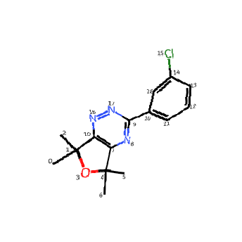 CC1(C)OC(C)(C)c2nc(-c3cccc(Cl)c3)nnc21